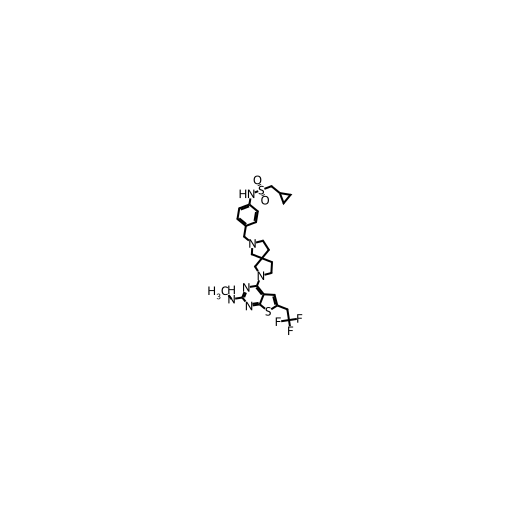 CNc1nc(N2CCC3(CCN(Cc4ccc(NS(=O)(=O)CC5CC5)cc4)C3)C2)c2cc(CC(F)(F)F)sc2n1